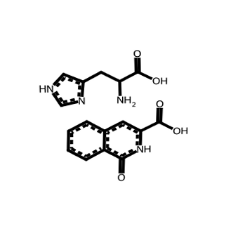 NC(Cc1c[nH]cn1)C(=O)O.O=C(O)c1cc2ccccc2c(=O)[nH]1